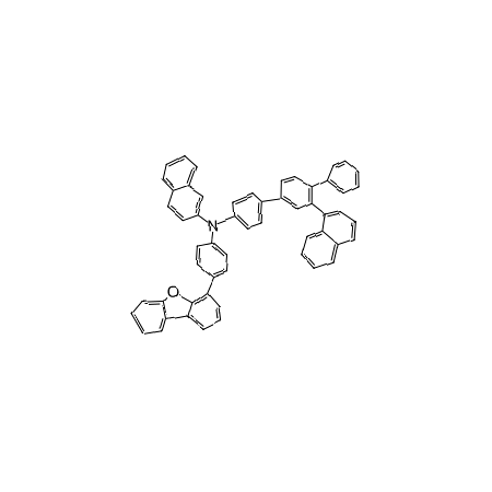 c1ccc(-c2ccc(-c3ccc(N(c4ccc(-c5cccc6c5oc5ccccc56)cc4)c4ccc5ccccc5c4)cc3)cc2-c2cccc3ccccc23)cc1